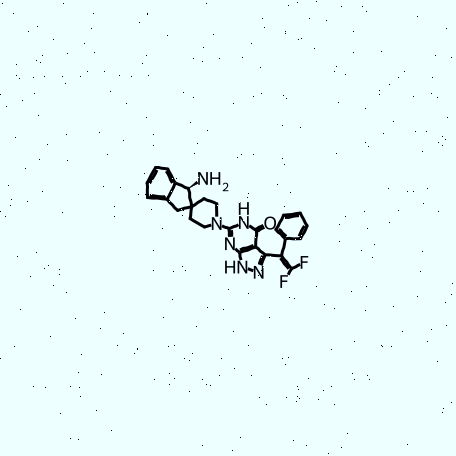 N[C@@H]1c2ccccc2CC12CCN(c1nc3[nH]nc(C(=C(F)F)c4ccccc4)c3c(=O)[nH]1)CC2